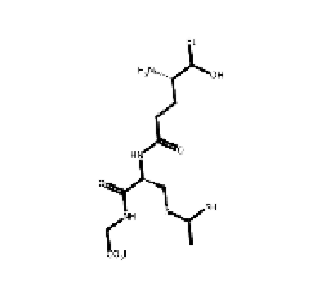 CCC(O)[C@@H](N)CCC(=O)N[C@@H](CSC(C)S)C(=O)NCC(=O)O